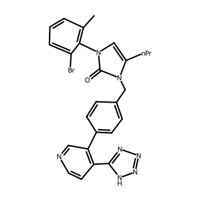 CCCc1cn(-c2c(C)cccc2Br)c(=O)n1Cc1ccc(-c2cnccc2-c2nnn[nH]2)cc1